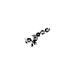 C=CCn1c(=O)c2cnc(Nc3ccc(N4CCN(C5CCN(C)CC5)CC4)cc3)nc2n1-c1ccc(=O)n(C(C)C)n1